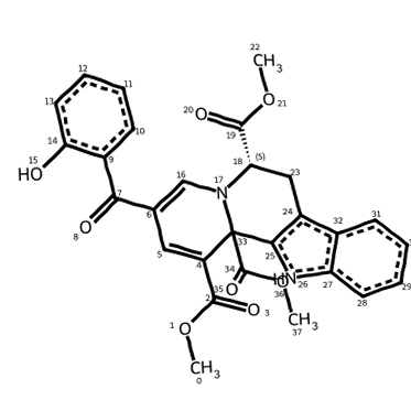 COC(=O)C1=CC(C(=O)c2ccccc2O)=CN2[C@H](C(=O)OC)Cc3c([nH]c4ccccc34)C12C(=O)OC